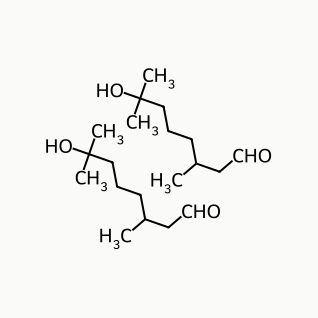 CC(CC=O)CCCC(C)(C)O.CC(CC=O)CCCC(C)(C)O